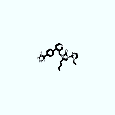 CCCCc1cn(-c2nccn2CC)c(=O)n1Cc1cnccc1-c1ccc(-c2nnn[nH]2)cc1